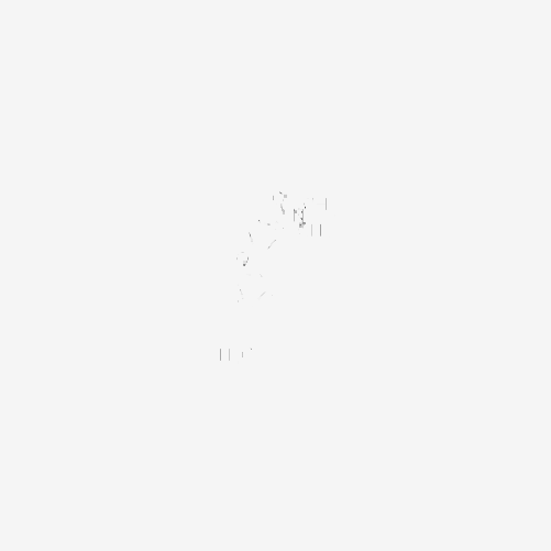 CCCCc1ccc(Oc2ccc(C(=O)N(C)C)cc2)cc1